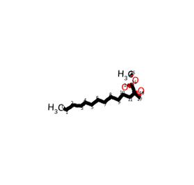 CCCCCCCCCCCCC1(C(=O)OC)CO1